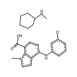 CNC1CCCCC1.Cn1ccc2c(Nc3cccc(Cl)c3)ncc(C(=O)O)c21